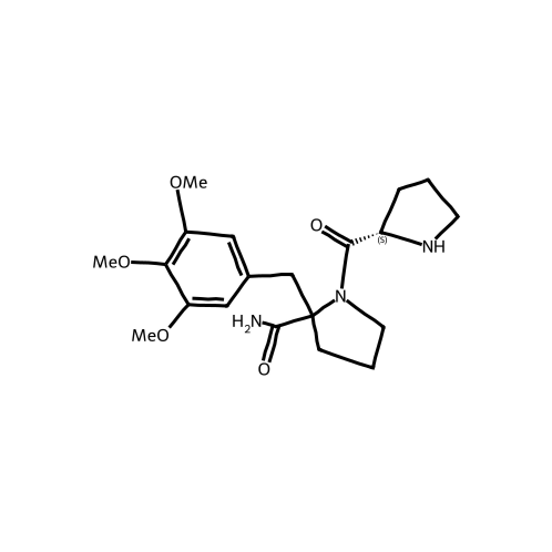 COc1cc(CC2(C(N)=O)CCCN2C(=O)[C@@H]2CCCN2)cc(OC)c1OC